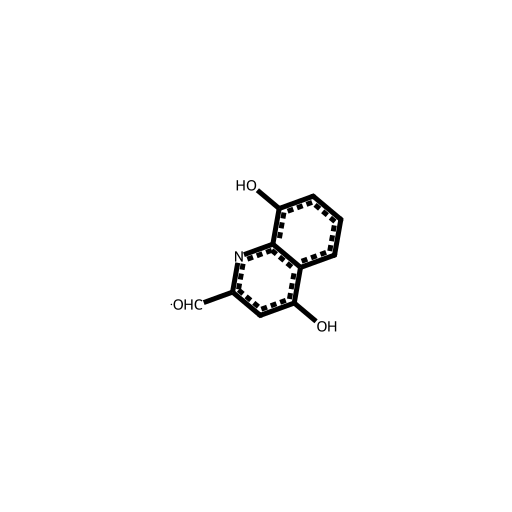 O=[C]c1cc(O)c2cccc(O)c2n1